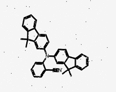 CC1(C)c2ccccc2-c2ccc(N(c3ccc4c(c3)C(C)(C)c3ccccc3-4)c3ccccc3C#N)cc21